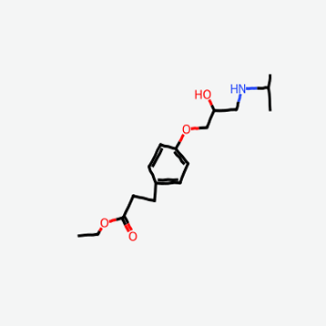 CCOC(=O)CCc1ccc(OCC(O)CNC(C)C)cc1